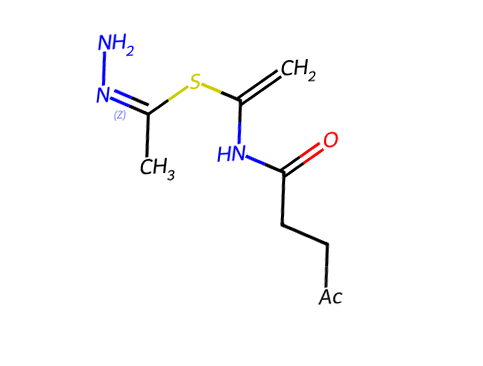 C=C(NC(=O)CCC(C)=O)S/C(C)=N\N